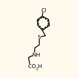 O=C(O)CNCCSCc1ccc(Cl)cc1